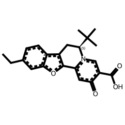 CCc1ccc2c3c(oc2c1)-c1cc(=O)c(C(=O)O)cn1[C@H](C(C)(C)C)C3